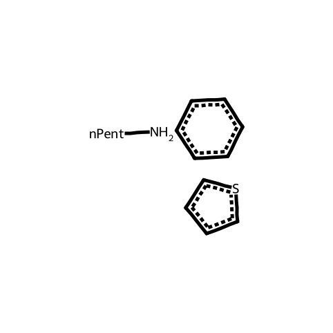 CCCCCN.c1ccccc1.c1ccsc1